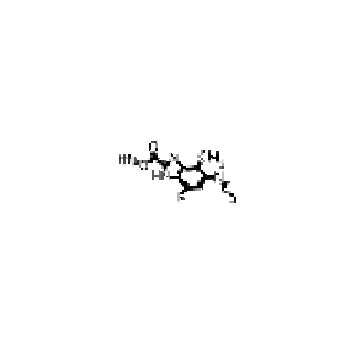 Cc1c(N=C=S)cc(F)c2[nH]c(C(=O)OC(C)(C)C)nc12